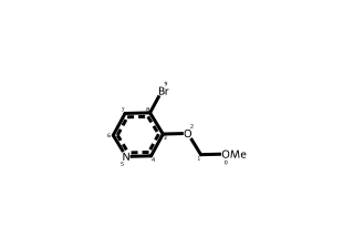 COCOc1cnccc1Br